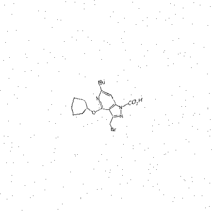 CC(C)(C)c1cc2c(c(CBr)nn2C(=O)O)c(OC2CCCCC2)n1